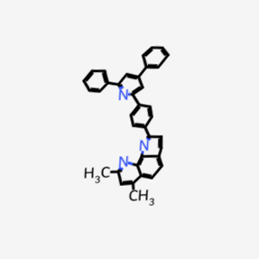 Cc1cc(C)c2ccc3ccc(-c4ccc(-c5cc(-c6ccccc6)cc(-c6ccccc6)n5)cc4)nc3c2n1